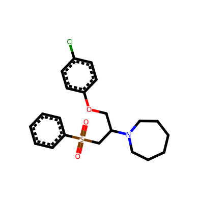 O=S(=O)(CC(COc1ccc(Cl)cc1)N1CCCCCC1)c1ccccc1